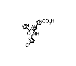 O=C(O)N1CCC(c2cc(NCc3ccc(Cl)s3)n(C(=O)c3cscn3)n2)C1